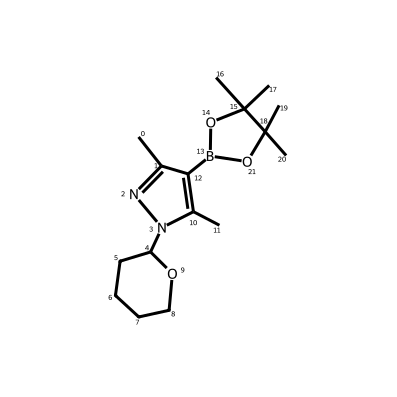 Cc1nn(C2CCCCO2)c(C)c1B1OC(C)(C)C(C)(C)O1